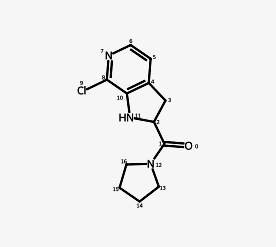 O=C(C1Cc2ccnc(Cl)c2N1)N1CCCC1